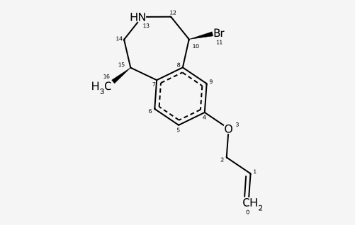 C=CCOc1ccc2c(c1)[C@H](Br)CNC[C@@H]2C